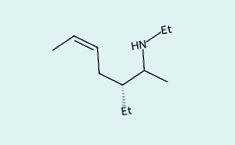 C/C=C\C[C@@H](CC)C(C)NCC